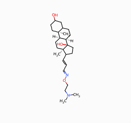 CN(C)CCON=CC=CC1CC[C@@]2(O)[C@@H]3CCC4CC(O)CC[C@]4(C)[C@@H]3CC[C@]12C